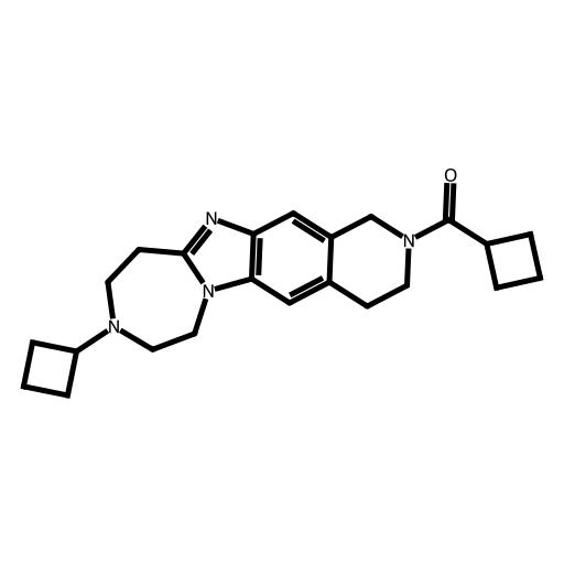 O=C(C1CCC1)N1CCc2cc3c(cc2C1)nc1n3CCN(C2CCC2)CC1